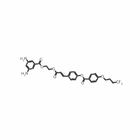 Nc1cc(N)cc(C(=O)OCCOC(=O)/C=C/c2ccc(OC(=O)c3ccc(OCCCC(F)(F)F)cc3)cc2)c1